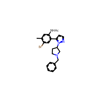 CC(=O)Nc1cc(C)c(Br)cc1-c1ccnn1C1CCN(Cc2ccccc2)C1